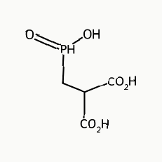 O=C(O)C(C[PH](=O)O)C(=O)O